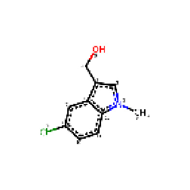 Cn1cc(CO)c2cc(Cl)ccc21